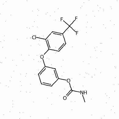 CNC(=O)Oc1cccc(Oc2ccc(C(F)(F)F)cc2Cl)c1